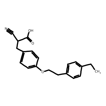 CCc1ccc(CCOc2ccc(CC(C#N)C(=O)O)cc2)cc1